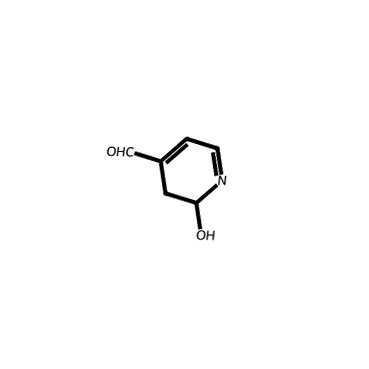 O=CC1=CC=NC(O)C1